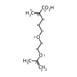 C=C(C)OCCOCCCC(=C)C(=O)O